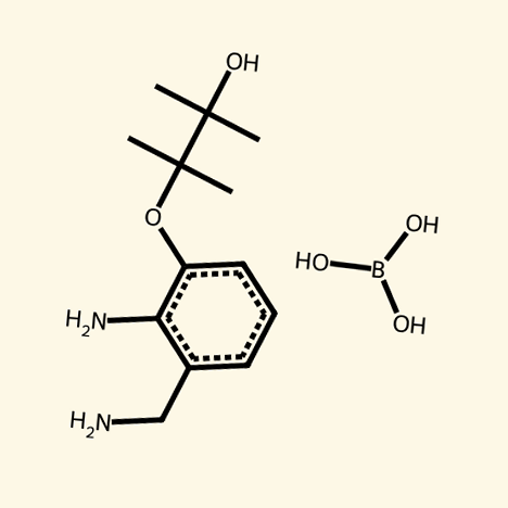 CC(C)(O)C(C)(C)Oc1cccc(CN)c1N.OB(O)O